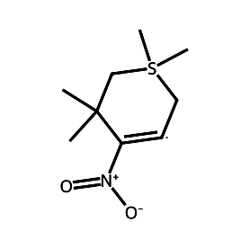 CC1(C)CS(C)(C)C[C]=C1[N+](=O)[O-]